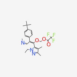 CCn1nc(C)c(C)c1/C(OCOC(=O)C(F)(F)F)=C(\C=N/C)c1ccc(C(C)(C)C)cc1